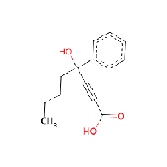 CCCCC(O)(C#CC(=O)O)c1ccccc1